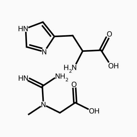 CN(CC(=O)O)C(=N)N.NC(Cc1c[nH]cn1)C(=O)O